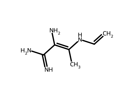 C=CN/C(C)=C(\N)C(=N)N